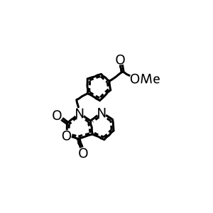 COC(=O)c1ccc(Cn2c(=O)oc(=O)c3cccnc32)cc1